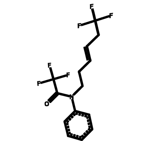 O=C(N(CCC=CCC(F)(F)F)c1ccccc1)C(F)(F)F